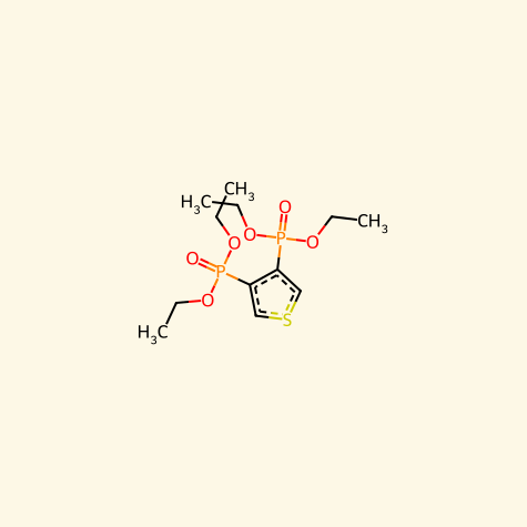 CCOP(=O)(OCC)c1cscc1P(=O)(OCC)OCC